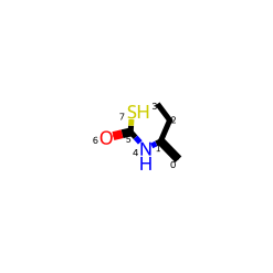 C=C(CC)NC(=O)S